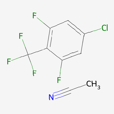 CC#N.Fc1cc(Cl)cc(F)c1C(F)(F)F